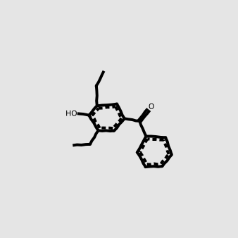 CCc1cc(C(=O)c2ccccc2)cc(CC)c1O